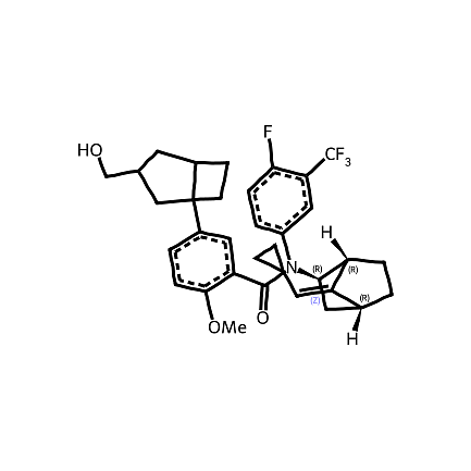 COc1ccc(C23CCC2CC(CO)C3)cc1C(=O)N(c1ccc(F)c(C(F)(F)F)c1)[C@@H]1C[C@H]2CC[C@@H]1/C2=C\C1CC1